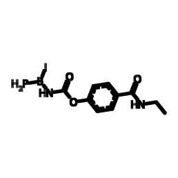 CCNC(=O)c1ccc(OC(=O)NB(P)I)cc1